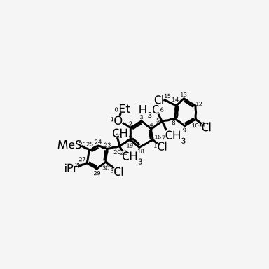 CCOc1cc(C(C)(C)c2cc(Cl)ccc2Cl)c(Cl)cc1C(C)(C)c1cc(SC)c(C(C)C)cc1Cl